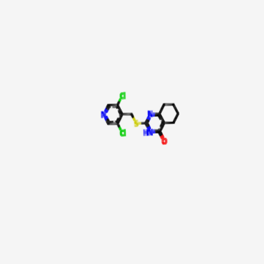 O=c1[nH]c(SCc2c(Cl)cncc2Cl)nc2c1CCCC2